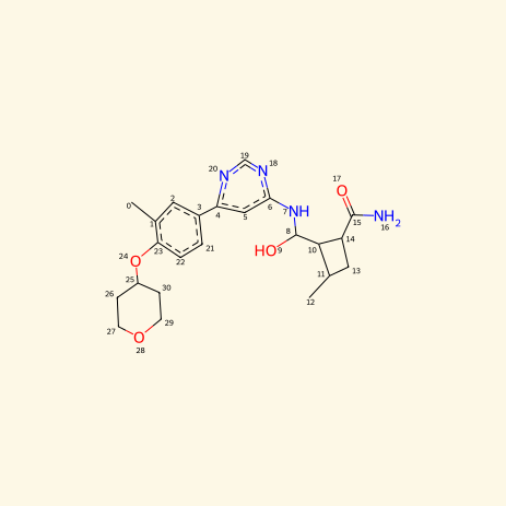 Cc1cc(-c2cc(NC(O)C3C(C)CC3C(N)=O)ncn2)ccc1OC1CCOCC1